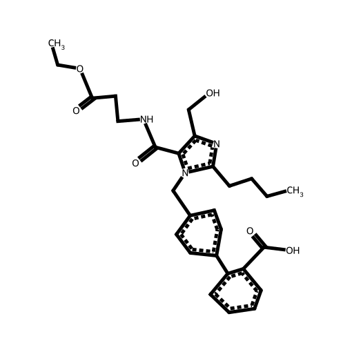 CCCCc1nc(CO)c(C(=O)NCCC(=O)OCC)n1Cc1ccc(-c2ccccc2C(=O)O)cc1